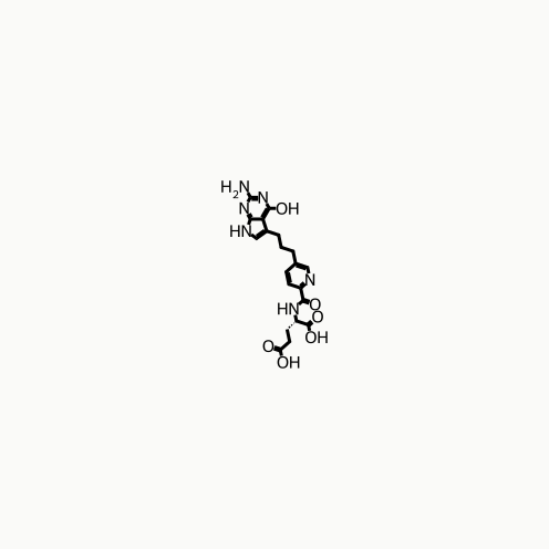 Nc1nc(O)c2c(CCCc3ccc(C(=O)N[C@@H](CCC(=O)O)C(=O)O)nc3)c[nH]c2n1